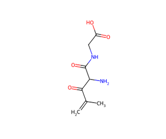 C=C(C)C(=O)C(N)C(=O)NCC(=O)O